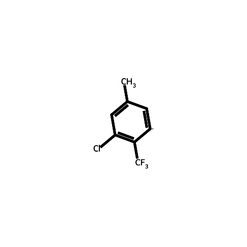 Cc1c[c]c(C(F)(F)F)c(Cl)c1